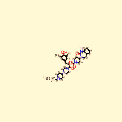 CCc1cc(C[C@@H](OC(=O)N2CCC(N3CCc4ccccc4NC3=O)CC2)C(=O)N2CCN(C3CCN(CC(=O)O)CC3)CC2)cc(C)c1O